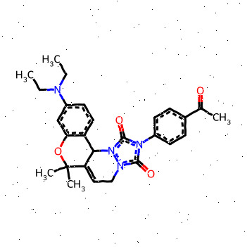 CCN(CC)c1ccc2c(c1)OC(C)(C)C1=CCn3c(=O)n(-c4ccc(C(C)=O)cc4)c(=O)n3C12